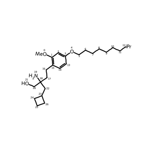 COc1cc(OCCCCCCCC(C)C)ccc1CCC(N)(CO)CC1CCC1